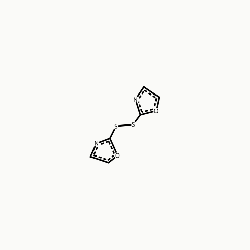 c1coc(SSc2ncco2)n1